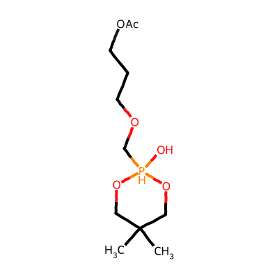 CC(=O)OCCCOC[PH]1(O)OCC(C)(C)CO1